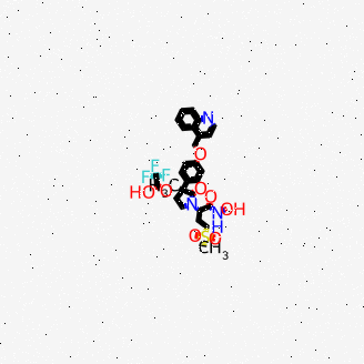 CC1(c2ccc(OCc3ccnc4ccccc34)cc2)CCN(C(CCS(C)(=O)=O)C(=O)NO)C1=O.O=C(O)C(F)(F)F